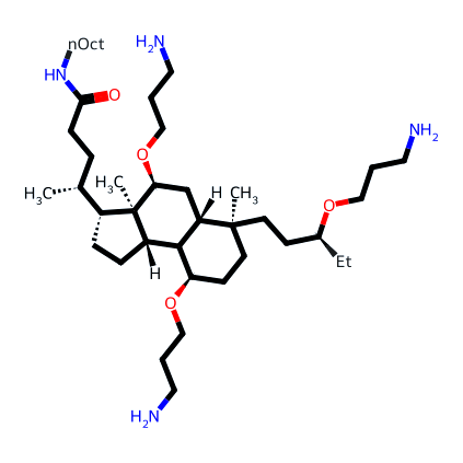 CCCCCCCCNC(=O)CC[C@@H](C)[C@H]1CC[C@H]2C3[C@H](OCCCN)CC[C@](C)(CC[C@H](CC)OCCCN)[C@H]3C[C@H](OCCCN)[C@]12C